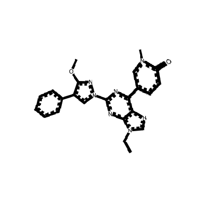 CCn1cnc2c(-c3ccc(=O)n(C)c3)nc(-n3cc(-c4ccccc4)c(OC)n3)nc21